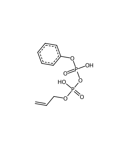 C=CCOP(=O)(O)OP(=O)(O)Oc1ccccc1